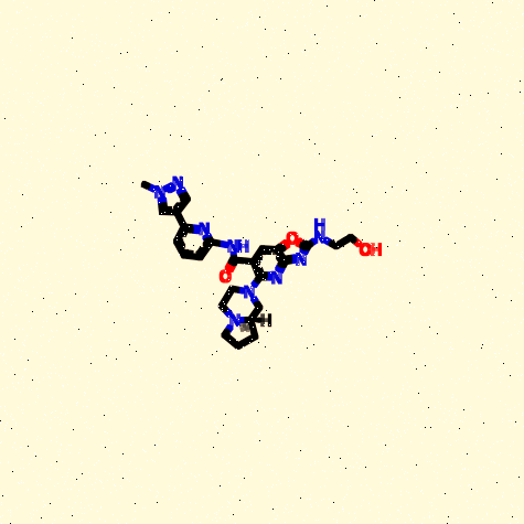 Cn1cc(-c2cccc(NC(=O)c3cc4oc(NCCO)nc4nc3N3CCN4CCC[C@H]4C3)n2)cn1